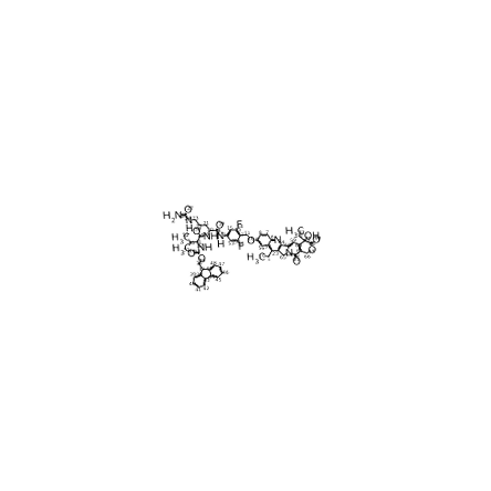 CCc1c2c(nc3ccc(OCc4c(F)cc(NC(=O)[C@H](CCCNC(N)=O)NC(=O)[C@@H](NC(=O)OCC5c6ccccc6-c6ccccc65)C(C)C)cc4F)cc13)-c1cc3c(c(=O)n1C2)COC(=O)[C@]3(O)CC